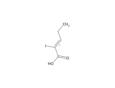 CC/C=C(\I)C(=O)O